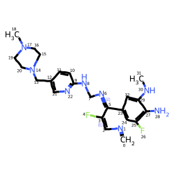 C=N/C=C(F)\C(=N/CNc1ccc(CN2CCN(C)CC2)cn1)c1cc(F)c(N)c(NC)c1